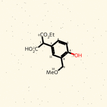 CCOC(=O)C(C(=O)O)c1ccc(O)c(COC)c1